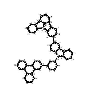 c1cc(-c2ccc3c4ccccc4c4ccccc4c3c2)cc(-n2c3ccccc3c3cc(-c4ccc5c6cccc7c8ccccc8n(c5c4)c76)ccc32)c1